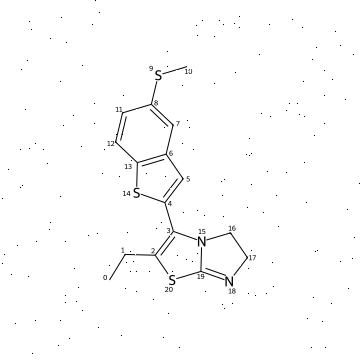 CCC1=C(c2cc3cc(SC)ccc3s2)N2CCN=C2S1